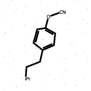 CC(C)CCc1ccc(OC#N)cc1